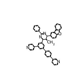 C=C1C(c2cc(-c3ccncc3)cc(-c3ccc(-c4cccnc4)cc3)c2)=NC(c2ccccc2)=NC1c1ccc2oc3ccccc3c2c1